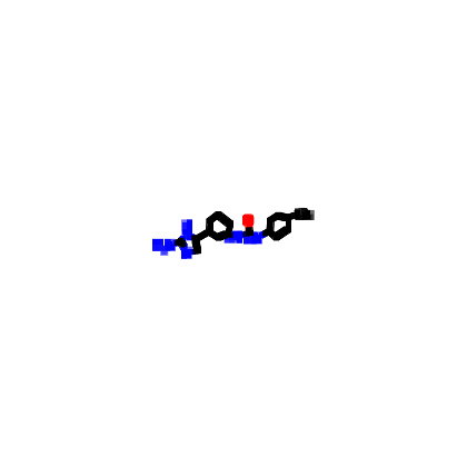 CC(C)(C)c1ccc(NC(=O)Nc2cccc(-c3cnc(N)[nH]3)c2)cc1